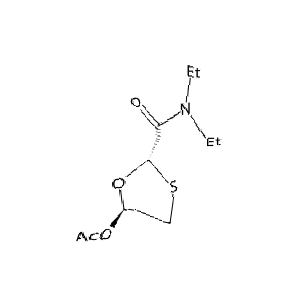 CCN(CC)C(=O)[C@H]1O[C@H](OC(C)=O)CS1